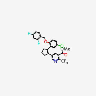 COC(=O)c1cc(C2=C(c3cc(Cl)ccc3OCc3ccc(F)cc3F)CCC2)cnc1C(F)(F)F